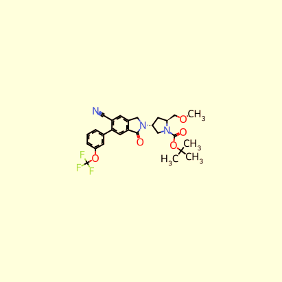 COC[C@@H]1C[C@@H](N2Cc3cc(C#N)c(-c4cccc(OC(F)(F)F)c4)cc3C2=O)CN1C(=O)OC(C)(C)C